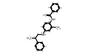 Cc1cc(NCC(C)c2ccccc2)ccc1NC(=O)c1ccccc1